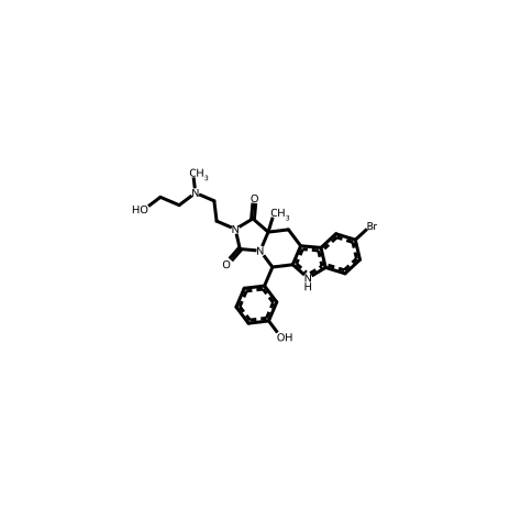 CN(CCO)CCN1C(=O)N2C(c3cccc(O)c3)c3[nH]c4ccc(Br)cc4c3CC2(C)C1=O